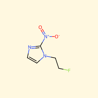 O=[N+]([O-])c1nccn1CCF